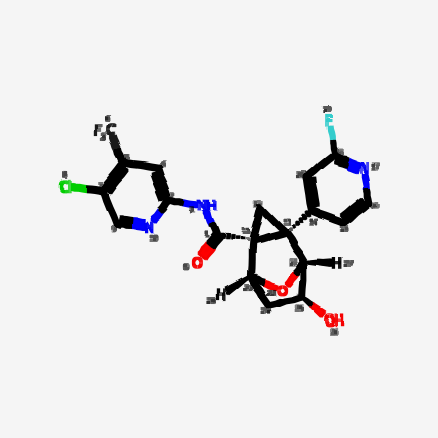 O=C(Nc1cc(C(F)(F)F)c(Cl)cn1)[C@]12C[C@@]1(c1ccnc(F)c1)[C@H]1O[C@@H]2C[C@@H]1O